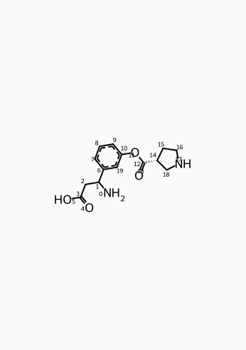 NC(CC(=O)O)c1cccc(OC(=O)[C@@H]2CCNC2)c1